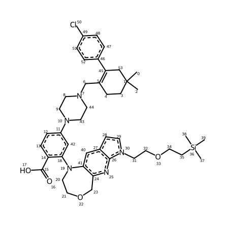 CC1(C)CCC(CN2CCN(c3ccc(C(=O)O)c(N4CCOCc5nc6c(ccn6CCOCC[Si](C)(C)C)cc54)c3)CC2)=C(c2ccc(Cl)cc2)C1